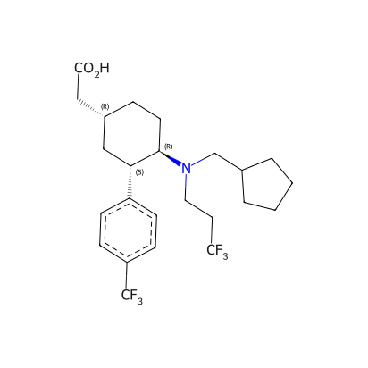 O=C(O)C[C@@H]1CC[C@@H](N(CCC(F)(F)F)CC2CCCC2)[C@H](c2ccc(C(F)(F)F)cc2)C1